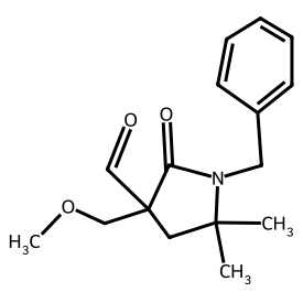 COCC1(C=O)CC(C)(C)N(Cc2ccccc2)C1=O